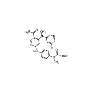 COC(=O)N(C)c1ccc(Nc2cc(N(C)c3cncc(F)c3)c(C(N)=O)cn2)cc1